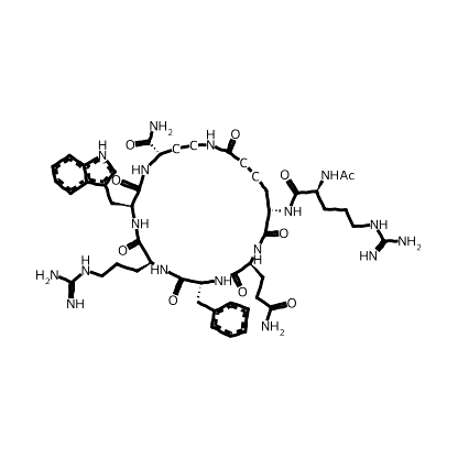 CC(=O)N[C@@H](CCCNC(=N)N)C(=O)N[C@H]1CCCC(=O)NCC[C@@H](C(N)=O)NC(=O)[C@H](Cc2c[nH]c3ccccc23)NC(=O)[C@H](CCCNC(=N)N)NC(=O)[C@@H](Cc2ccccc2)NC(=O)[C@H](CCC(N)=O)NC1=O